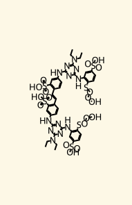 CCN(CC)c1nc(Nc2ccc(/C=C/c3ccc(Nc4nc(Nc5cc(S(=O)(=O)O)ccc5SOOO)nc(N(CC)CC)n4)cc3S(=O)(=O)O)c(S(=O)(=O)O)c2)nc(Nc2cc(S(=O)(=O)O)ccc2SOOO)n1